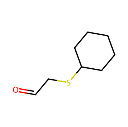 O=CCSC1CCCCC1